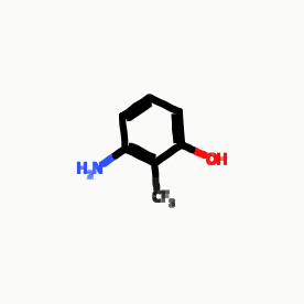 Nc1cccc(O)c1C(F)(F)F